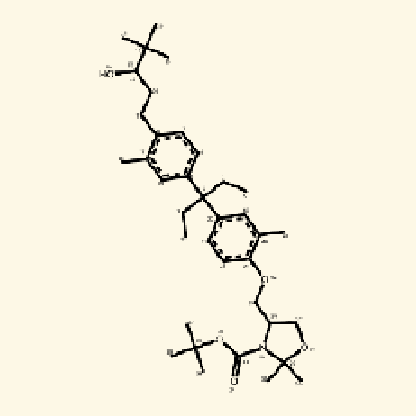 CCC(CC)(c1ccc(CC[C@@H](O)C(C)(C)C)c(C)c1)c1ccc(OCC2COC(C)(C)N2C(=O)OC(C)(C)C)c(C)c1